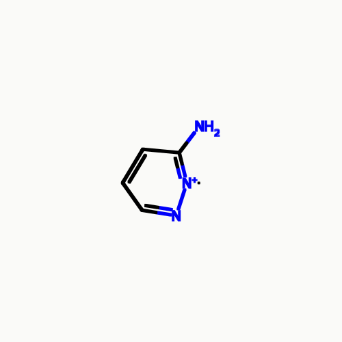 NC1=[N+]N=CC=C1